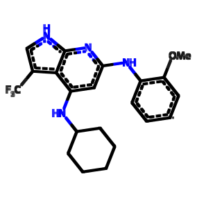 COc1c[c]ccc1Nc1cc(NC2CCCCC2)c2c(C(F)(F)F)c[nH]c2n1